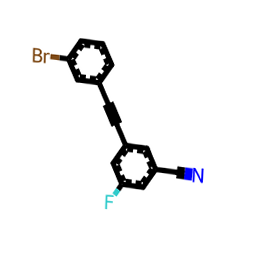 N#Cc1cc(F)cc(C#Cc2cccc(Br)c2)c1